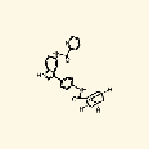 O=C(Nc1ccc2[nH]cc(-c3ccc(NC(=O)C4C5C[C@H]6C[C@@H](C5)C[C@@H]4C6)cc3)c2c1)c1ccccn1